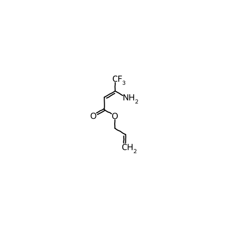 C=CCOC(=O)C=C(N)C(F)(F)F